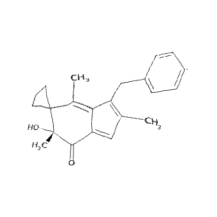 CC1=C(Cc2cc[c]cc2)C2=C(C)C3(CC3)[C@@](C)(O)C(=O)C2=C1